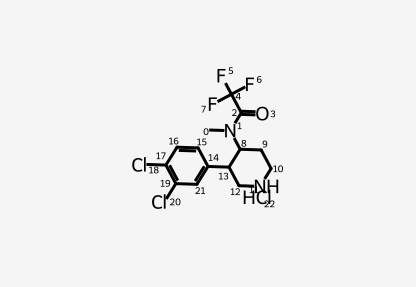 CN(C(=O)C(F)(F)F)C1CCNCC1c1ccc(Cl)c(Cl)c1.Cl